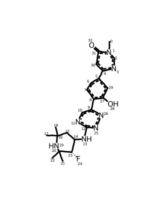 Cn1cnc(-c2ccc(-c3cnc(NC4CC(C)(C)NC(C)(C)[C@H]4F)nn3)c(O)c2)cc1=O